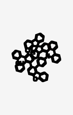 Cc1ccc(-c2ccc3oc4ccccc4c3c2-c2ccc(N(c3ccccc3-c3ccccc3)c3cccc4c3-c3ccccc3C43c4ccccc4-c4ccccc43)cc2)c(-c2ccccc2)c1-c1ccccc1O